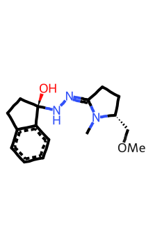 COC[C@H]1CCC(=NN[C@@]2(O)CCc3ccccc32)N1C